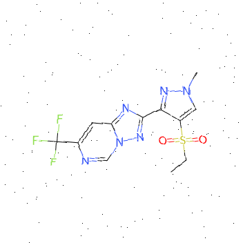 CCS(=O)(=O)c1cn(C)nc1-c1nc2cc(C(F)(F)F)ncn2n1